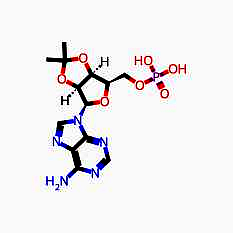 CC1(C)O[C@@H]2[C@H](O1)[C@H](n1cnc3c(N)ncnc31)O[C@@H]2COP(=O)(O)O